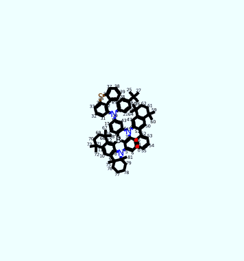 Cc1cc2c3c(c1)N1c4c(cc5c(c4B3c3ccc(N(c4ccc(C(C)(C)C)cc4)c4cccc6sc7ccccc7c46)cc3N2c2cc3c(cc2-c2ccccc2)C(C)(C)CCC3(C)C)C(C)(C)CCC5(C)C)C2(C)CCCCC12C